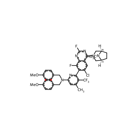 COc1ccc(CN(Cc2ccc(OC)cc2)c2cc(C)c(C(F)(F)F)c(-c3c(Cl)cc4c(N5C[C@H]6CC[C@@H](C5)N6C(=O)O)nc(F)nc4c3F)n2)cc1